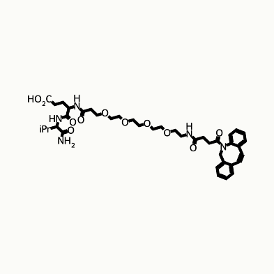 CC(C)C(NC(=O)C(CCC(=O)O)NC(=O)CCOCCOCCOCCOCCNC(=O)CCC(=O)N1Cc2ccccc2C#Cc2ccccc21)C(N)=O